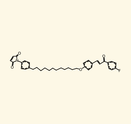 O=C(/C=C/c1ccc(OCCCCCCCCCCCCc2ccc(N3C(=O)C=CC3=O)cc2)cc1)c1ccc(F)cc1